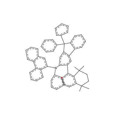 CC1(C)CCC(C)(C)c2c(-c3cc4c(cc3N(c3ccccc3)c3cc5ccccc5c5ccccc35)C(c3ccccc3)(c3ccccc3)c3ccccc3-4)cccc21